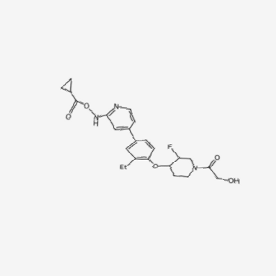 CCc1cc(-c2ccnc(NOC(=O)C3CC3)c2)ccc1OC1CCN(C(=O)CO)CC1F